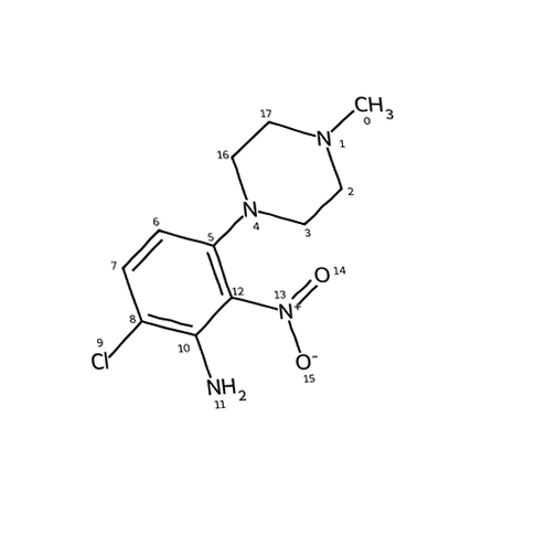 CN1CCN(c2ccc(Cl)c(N)c2[N+](=O)[O-])CC1